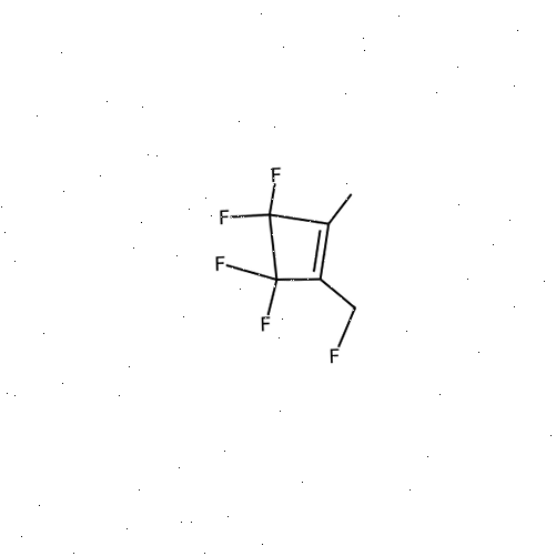 CC1=C(CF)C(F)(F)C1(F)F